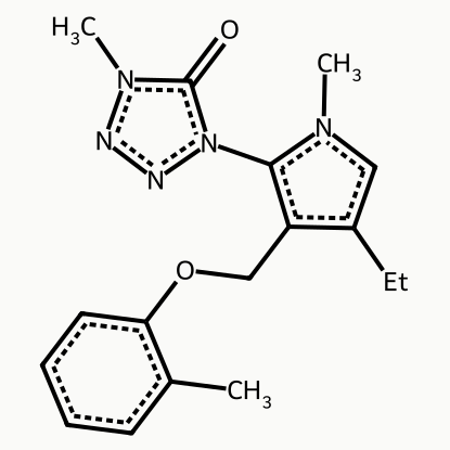 CCc1cn(C)c(-n2nnn(C)c2=O)c1COc1ccccc1C